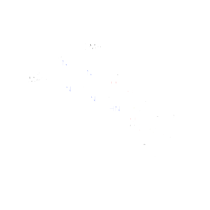 C=CC(C)S(=O)(=O)c1ccccc1S(=O)(=O)NC(=O)Nc1nc(OC)nc(OC)n1